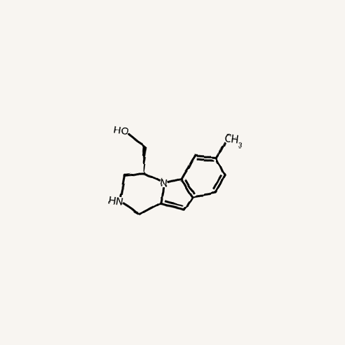 Cc1ccc2cc3n(c2c1)[C@H](CO)CNC3